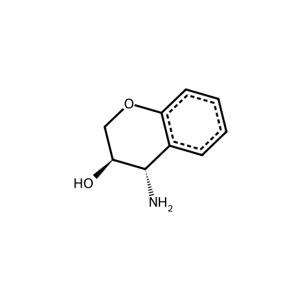 N[C@H]1c2ccccc2OC[C@@H]1O